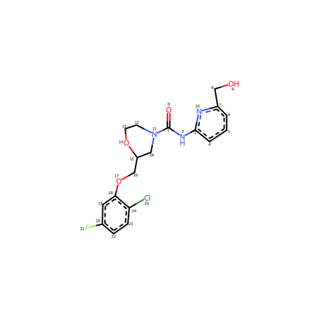 O=C(Nc1cccc(CO)n1)N1CCOC(COc2cc(F)ccc2Cl)C1